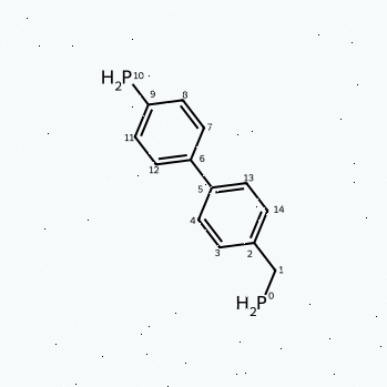 PCc1ccc(-c2ccc(P)cc2)cc1